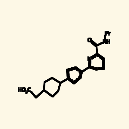 CC(C)NC(=O)c1cccc(-c2ccc(C3CCC(CC(=O)O)CC3)cc2)n1